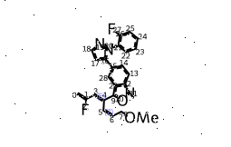 C=C(F)/C=C(\C=C/COC)c1onc2ccc(-c3ccnn3-c3ccccc3F)cc12